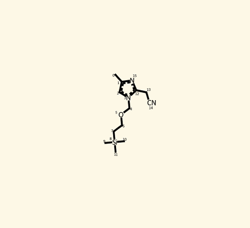 Cc1cn(COCC[Si](C)(C)C)c(CC#N)n1